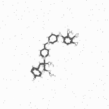 COC(=O)[C@](C)(Cc1ccc(F)cc1)N1CCC(CN2CCC(Oc3ccc(Cl)c(Cl)c3C)CC2)CC1